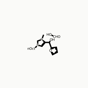 CCCCCCCCN1C=C(C(O)c2ccco2)N(C)C1.O=CO